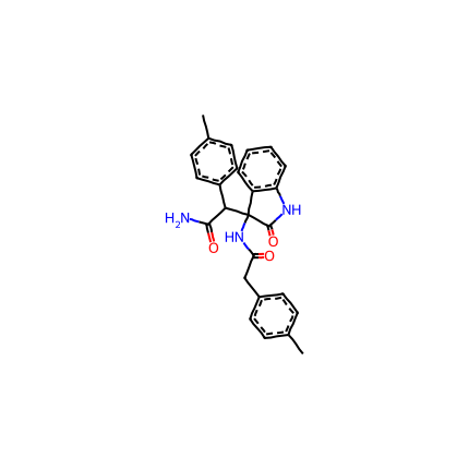 Cc1ccc(CC(=O)NC2(C(C(N)=O)c3ccc(C)cc3)C(=O)Nc3ccccc32)cc1